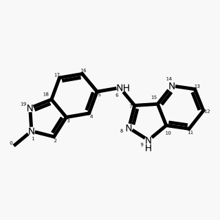 Cn1cc2cc(Nc3n[nH]c4cccnc34)ccc2n1